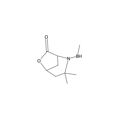 CBN1C2CC(CC1(C)C)OC2=O